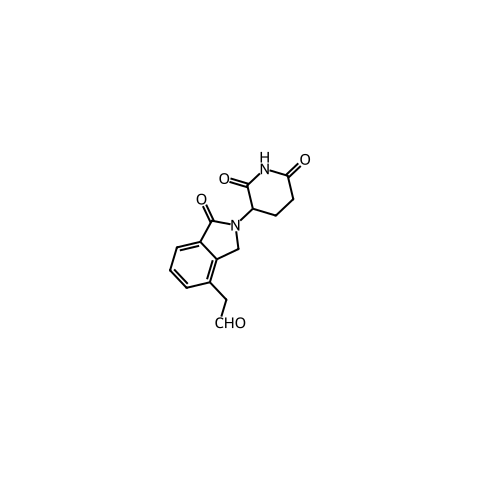 O=CCc1cccc2c1CN(C1CCC(=O)NC1=O)C2=O